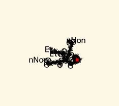 CCCCCCCCCOC(=O)CCCCC(=O)OCC(COC(=O)CCCCC(=O)OCCCCCCCCC)(COC(=O)CC12CC3CC(CC(C3)C1)C2)COC(=O)OCCCN(CC)CC